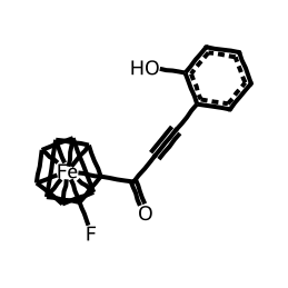 O=C(C#Cc1ccccc1O)[C]12[CH]3[CH]4[CH]5[C]1(F)[Fe]45321678[CH]2[CH]1[CH]6[CH]7[CH]28